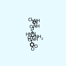 COc1ccc(C(=O)Nc2c(N)nc(SCC(=O)Nc3cc(Cl)[nH]n3)[nH]c2=O)cc1OC